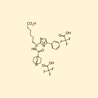 O=C(O)C(F)(F)F.O=C(O)C(F)(F)F.O=C(O)CCCCC[C@H](NC(=O)C12CCN(CC1)CC2)c1ncc(-c2ccccc2)[nH]1